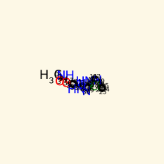 CNC(=O)COc1ccc(-c2nc3c(N[C@H]4CCN(Cc5ccccc5)C4)c(Cl)cnc3[nH]2)cc1